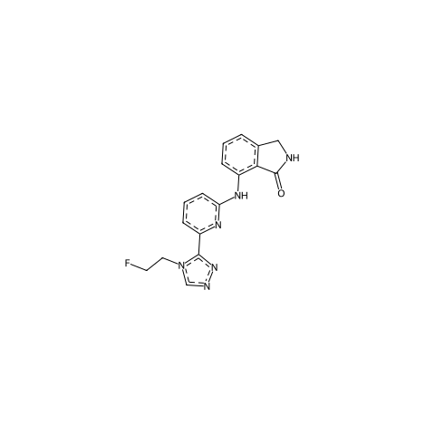 O=C1NCc2cccc(Nc3cccc(-c4nncn4CCF)n3)c21